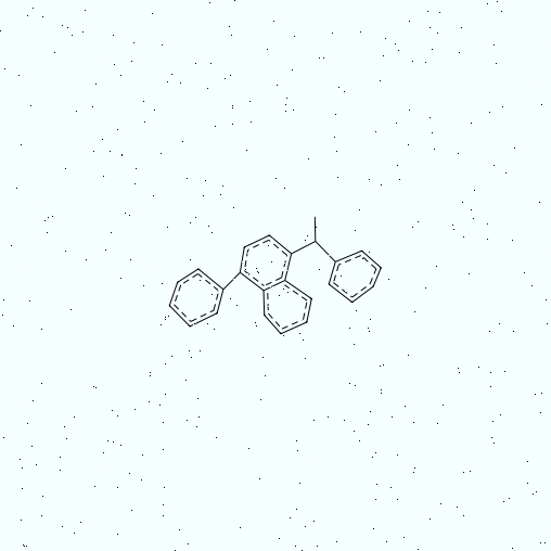 CC(c1ccccc1)c1ccc(-c2ccccc2)c2ccccc12